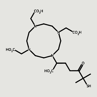 CC(C)(S)C(=O)CCC(C(=O)O)N1CCN(CC(=O)O)CCN(CC(=O)O)CCN(CC(=O)O)CC1